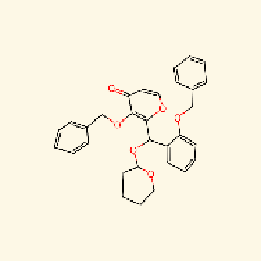 O=c1ccoc(C(OC2CCCCO2)c2ccccc2OCc2ccccc2)c1OCc1ccccc1